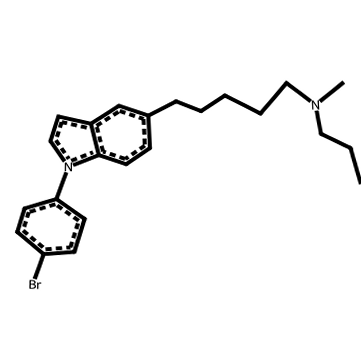 CCCN(C)CCCCCc1ccc2c(ccn2-c2ccc(Br)cc2)c1